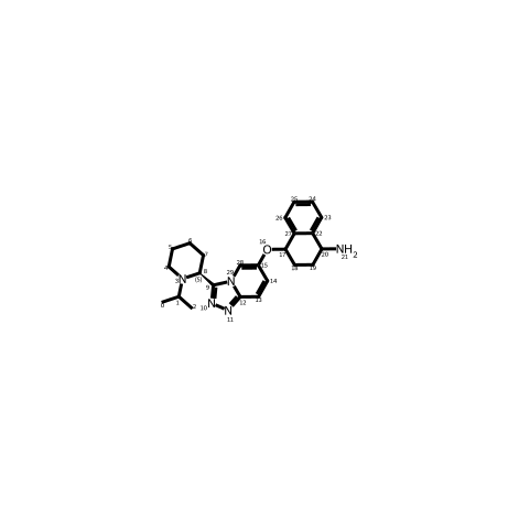 CC(C)N1CCCC[C@H]1c1nnc2ccc(OC3CCC(N)c4ccccc43)cn12